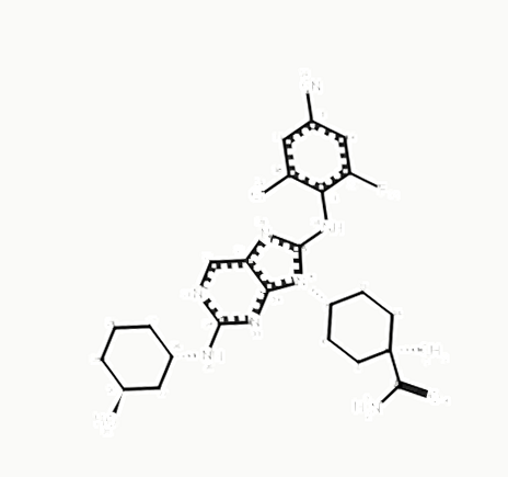 C[C@]1(C(N)=O)CC[C@H](n2c(Nc3c(F)cc(C#N)cc3Cl)nc3cnc(N[C@H]4CCC[C@H](O)C4)nc32)CC1